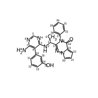 C[C@H](Nc1ncnc(N)c1-c1cccc(O)c1)c1nn2cccc2c(=O)n1-c1ccccc1